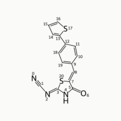 N#CN=C1NC(=O)C(=Cc2ccc(-c3cccs3)cc2)S1